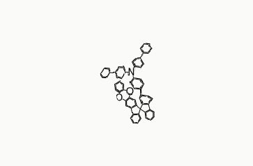 c1ccc(-c2ccc(N(c3ccc(-c4ccccc4)cc3)c3ccc(-c4ccc5c(c4)C4(c6ccccc6-5)c5ccccc5-c5cc6c(cc54)Oc4ccccc4O6)cc3)cc2)cc1